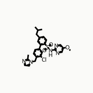 COc1cnc(NS(=O)(=O)c2ccc(CC(C)C)cc2-c2ccc(Cn3ccnc3C)c(Cl)c2)nc1